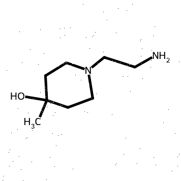 CC1(O)CCN(CCN)CC1